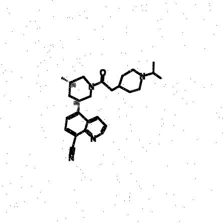 CC(C)N1CCC(CC(=O)N2C[C@@H](C)C[C@@H](c3ccc(C#N)c4ncccc34)C2)CC1